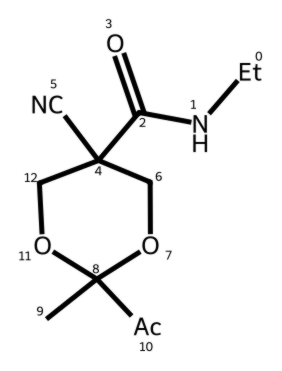 CCNC(=O)C1(C#N)COC(C)(C(C)=O)OC1